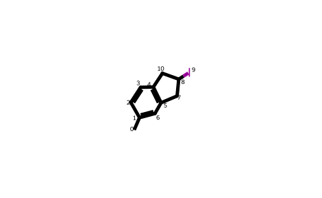 Cc1ccc2c(c1)CC(I)C2